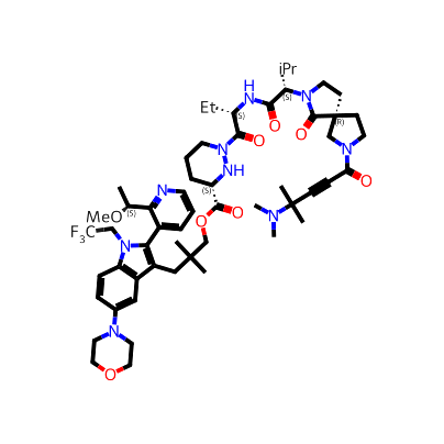 CC[C@H](NC(=O)[C@H](C(C)C)N1CC[C@@]2(CCN(C(=O)C#CC(C)(C)N(C)C)C2)C1=O)C(=O)N1CCC[C@@H](C(=O)OCC(C)(C)Cc2c(-c3cccnc3[C@H](C)OC)n(CC(F)(F)F)c3ccc(N4CCOCC4)cc23)N1